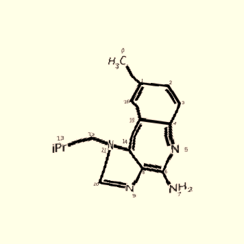 Cc1ccc2nc(N)c3ncn(CC(C)C)c3c2c1